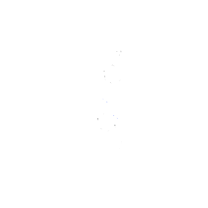 COc1ccc(CNc2ccc(C(=O)O)c(F)n2)cc1